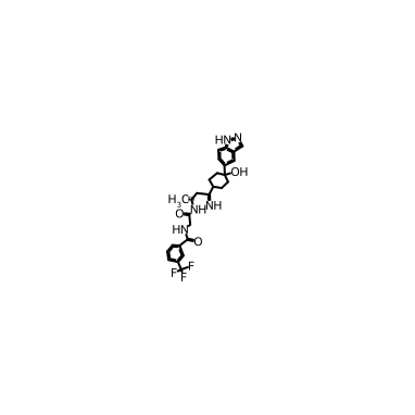 C[C@H](CC(=N)C1CCC(O)(c2ccc3[nH]ncc3c2)CC1)NC(=O)CNC(=O)c1cccc(C(F)(F)F)c1